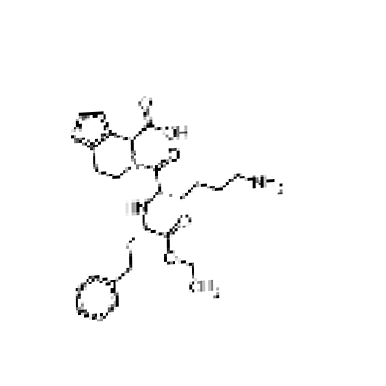 CCOC(=O)[C@H](CCc1ccccc1)N[C@@H](CCCCN)C(=O)N1CCc2sccc2[C@H]1C(=O)O